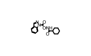 O=C(NOC(=O)n1ncc2ccccc21)C1CCCCC1